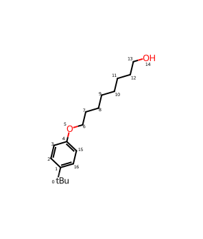 CC(C)(C)c1ccc(OCCCCCCCCO)cc1